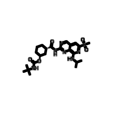 CC(C)Nc1nc(S(C)(=O)=O)cc2cnc(NC(=O)[C@H]3CCC[C@@H](OC(=O)NC(C)(C)C)C3)nc12